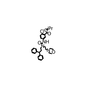 CC(C)OC(=O)c1cc(NC(=O)N(CCC(c2ccccc2)c2ccccc2)CCN2CCOCC2)ccc1Cl